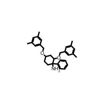 Cc1cc(C)cc(COC2CCC(N)(c3ccccc3)C(OCc3cc(C)cc(C)c3)C2)c1